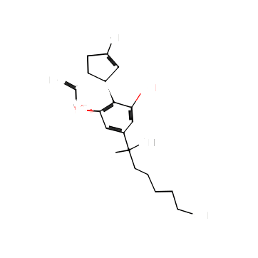 C=C(C)[C@@H]1CC(C)=C[C@H]1c1c(O)cc(C(C)(C)CCCCCC)cc1O